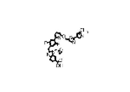 Cn1cc(-c2ncc(COc3cccc(-c4cc(F)c(Cc5nc6ccc(C(=O)O)cc6n5C[C@@H]5CCO5)cc4F)n3)s2)cn1